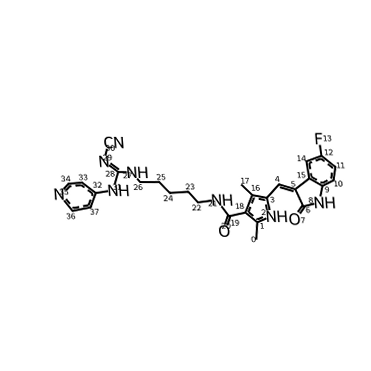 Cc1[nH]c(/C=C2\C(=O)Nc3ccc(F)cc32)c(C)c1C(=O)NCCCCCN/C(=N\C#N)Nc1ccncc1